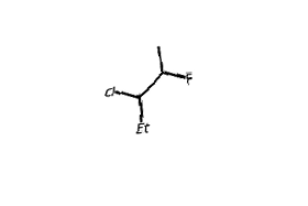 CC[C](Cl)C(C)F